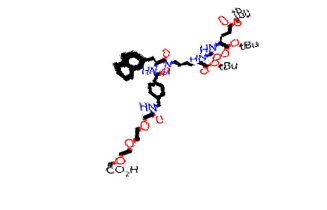 CC(C)(C)OC(=O)CC[C@H](NC(=O)N[C@@H](CCCCNC(=O)[C@H](Cc1ccc2ccccc2c1)NC(=O)C1CCC(CNC(=O)COCCOCCOCC(=O)O)CC1)C(=O)OC(C)(C)C)C(=O)OC(C)(C)C